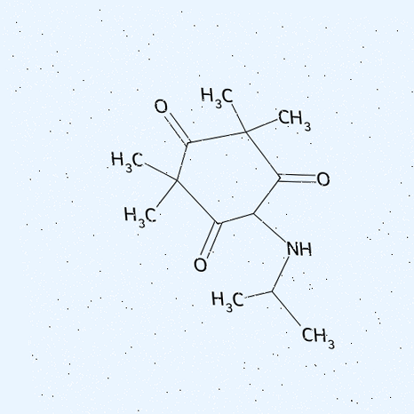 CC(C)NC1C(=O)C(C)(C)C(=O)C(C)(C)C1=O